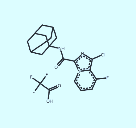 O=C(NC12CC3CC(CC(C3)C1)C2)c1nc(Cl)c2c(F)cccn12.O=C(O)C(F)(F)F